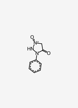 O=C1C[N+](=O)NN1c1ccccc1